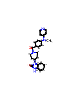 CN(c1ccncc1)c1ccc(C(=O)N2CCC(n3c(=O)[nH]c4ccccc43)CC2)cc1